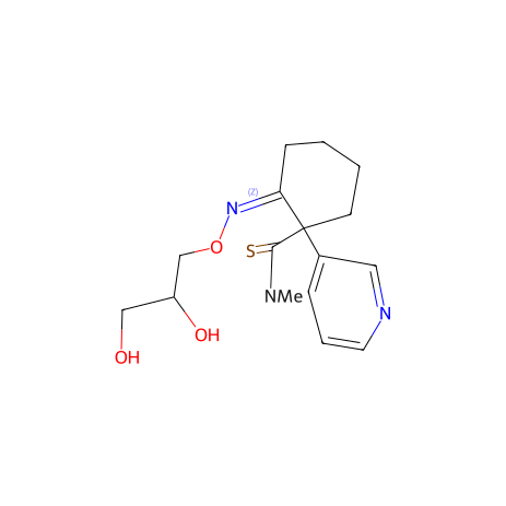 CNC(=S)C1(c2cccnc2)CCCC/C1=N/OCC(O)CO